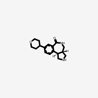 O=C1NC[C@@H]2CNC[C@H]2c2ccc(C3CCOCC3)cc21